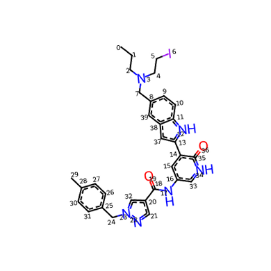 CCCN(CCI)Cc1ccc2[nH]c(-c3cc(NC(=O)c4cnn(Cc5ccc(C)cc5)c4)c[nH]c3=O)cc2c1